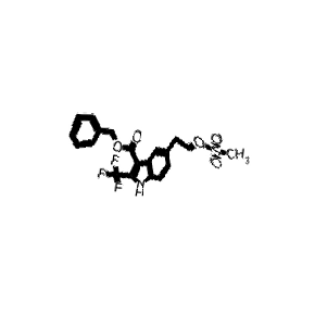 CS(=O)(=O)OCCc1ccc2[nH]c(C(F)(F)F)c(C(=O)OCc3ccccc3)c2c1